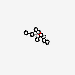 c1ccc(-c2ccc(N(c3ccccc3-c3cccc4oc5c6ccccc6ccc5c34)c3cccc4ccccc34)cc2)cc1